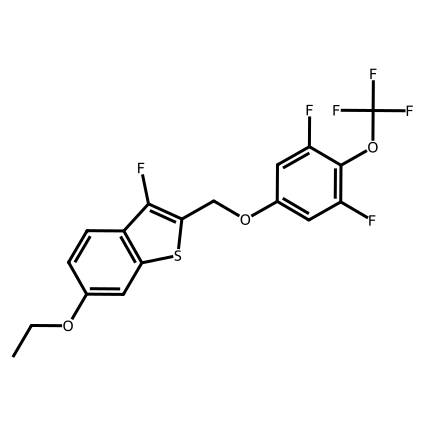 CCOc1ccc2c(F)c(COc3cc(F)c(OC(F)(F)F)c(F)c3)sc2c1